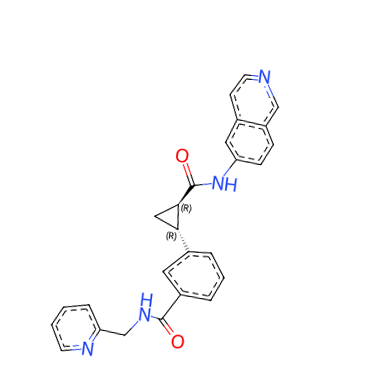 O=C(NCc1ccccn1)c1cccc([C@@H]2C[C@H]2C(=O)Nc2ccc3cnccc3c2)c1